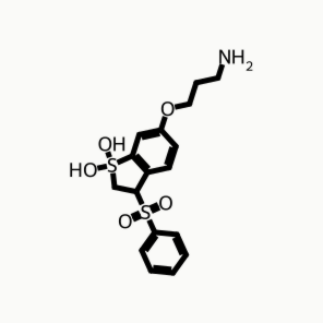 NCCCOc1ccc2c(c1)S(O)(O)CC2S(=O)(=O)c1ccccc1